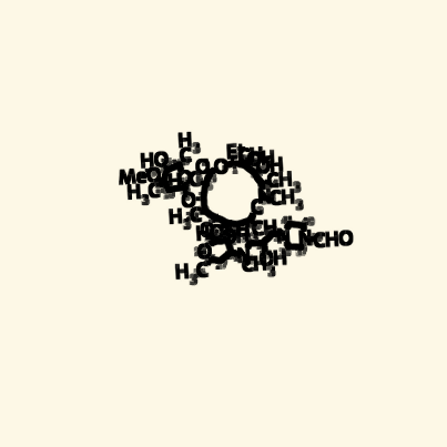 CC[C@H]1OC(=O)[C@H](C)[C@@H](O[C@H]2C[C@@](C)(OC)[C@@H](O)[C@H](C)O2)[C@H](C)[C@@H](O[C@@H]2O[C@H](C)CC(N(C)CC(O)CN3CCN(C=O)CC3)[C@H]2O)[C@](C)(O)C[C@@H](C)CN(C)[C@H](C)[C@@H](O)[C@]1(C)O